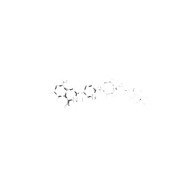 CC(C)(C)[Si](C)(C)OCCN1CCN(c2ccc(-c3cc4c(Cl)cccc4c(=O)[nH]3)cn2)CC1